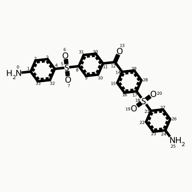 Nc1ccc(S(=O)(=O)c2ccc(C(=O)c3ccc(S(=O)(=O)c4ccc(N)cc4)cc3)cc2)cc1